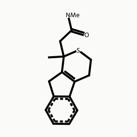 CNC(=O)CC1(C)SCCC2=C1Cc1ccccc12